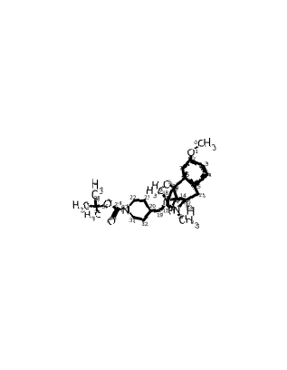 COc1ccc2c(c1)[C@@]1(C)CCN(C)[C@H](C2)[C@@H]1N(C)CC1CCN(C(=O)OC(C)(C)C)CC1